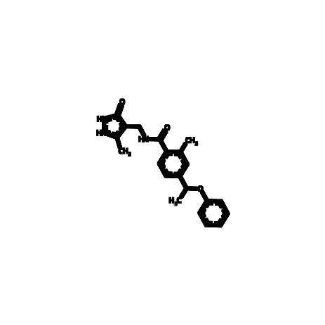 Cc1cc(C(C)Oc2ccccc2)ccc1C(=O)NCc1c(C)[nH][nH]c1=O